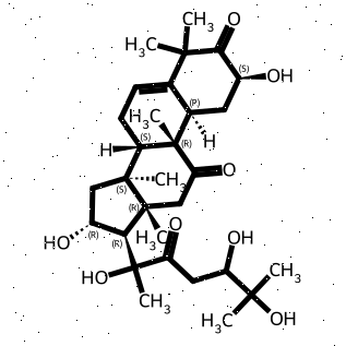 CC1(C)C(=O)[C@@H](O)C[C@@H]2C1=CC[C@@H]1[C@@]2(C)C(=O)C[C@]2(C)[C@@H](C(C)(O)C(=O)CC(O)C(C)(C)O)[C@H](O)C[C@@]12C